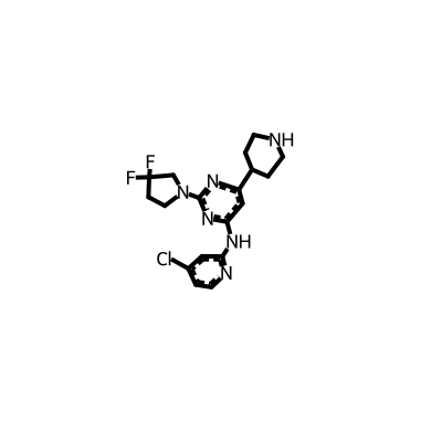 FC1(F)CCN(c2nc(Nc3cc(Cl)ccn3)cc(C3CCNCC3)n2)C1